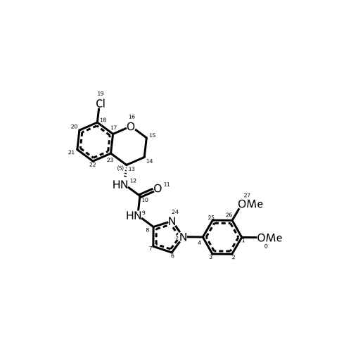 COc1ccc(-n2ccc(NC(=O)N[C@H]3CCOc4c(Cl)cccc43)n2)cc1OC